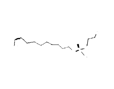 CCCCCCCC/C=C\CCCCCCCCOP(=O)(O)OCCO